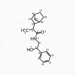 CC(C(=O)NCC(O)c1ccccc1)C1CC2CCC1C2